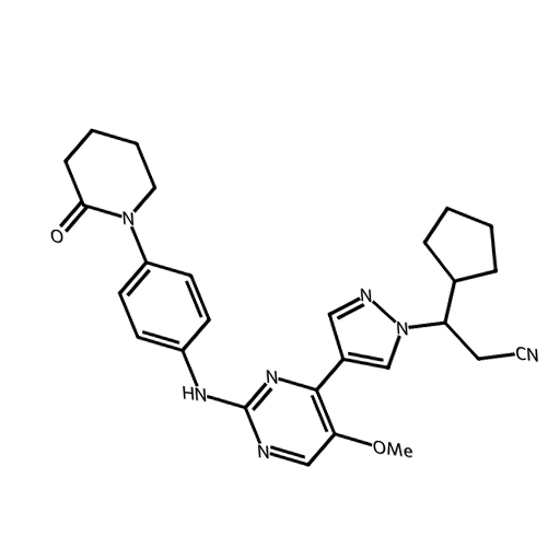 COc1cnc(Nc2ccc(N3CCCCC3=O)cc2)nc1-c1cnn(C(CC#N)C2CCCC2)c1